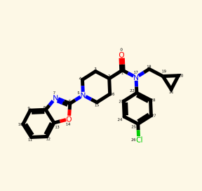 O=C(C1CCN(c2nc3ccccc3o2)CC1)N(CC1CC1)c1ccc(Cl)cc1